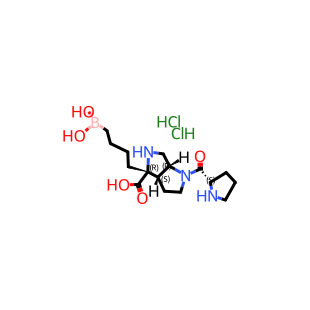 Cl.Cl.O=C([C@@H]1CCCN1)N1CC[C@H]2[C@@H]1CN[C@@]2(CCCCB(O)O)C(=O)O